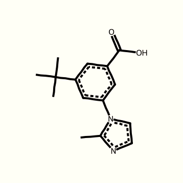 Cc1nccn1-c1cc(C(=O)O)cc(C(C)(C)C)c1